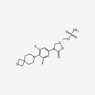 CS(=O)(=O)OC[C@H]1CN(c2cc(F)c(N3CCC4(CC3)COC4)c(F)c2)C(=O)O1